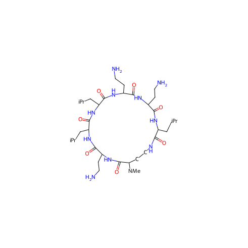 CNC1CCNC(=O)C(CC(C)C)NC(=O)C(CCN)NC(=O)C(CCN)NC(=O)C(CC(C)C)NC(=O)C(CC(C)C)NC(=O)C(CCN)NC1=O